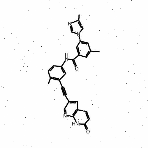 Cc1cc(C(=O)Nc2ccc(C)c(C#Cc3cnc4[nH]c(=O)ccc4c3)c2)cc(-n2cnc(C)c2)c1